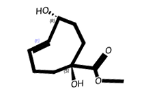 COC(=O)[C@]1(O)CC/C=C/[C@H](O)CC1